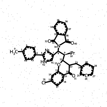 Cc1ccc(-c2nc(C([C@@H](C(C)C)C3Oc4cc(Cl)ccc4C(=O)C3Cc3ccccc3)N3C(=O)c4ccccc4C3=O)c[nH]2)cc1